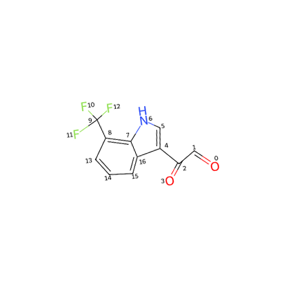 O=CC(=O)c1c[nH]c2c(C(F)(F)F)cccc12